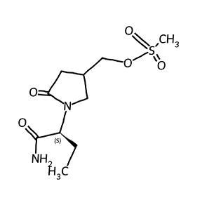 CC[C@@H](C(N)=O)N1CC(COS(C)(=O)=O)CC1=O